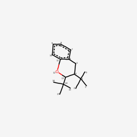 CC(C)(C)C1Cc2ccccc2OC1C(C)(C)C